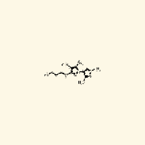 Cc1nn(C)cc1-n1nc(OCCCO)c([N+](=O)[O-])c1C